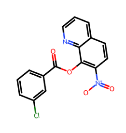 O=C(Oc1c([N+](=O)[O-])ccc2cccnc12)c1cccc(Cl)c1